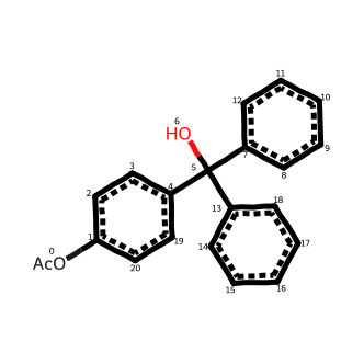 CC(=O)Oc1ccc(C(O)(c2ccccc2)c2ccccc2)cc1